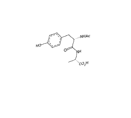 CC(=O)N[C@@H](Cc1ccc(O)cc1)C(=O)N[C@@H](C)C(=O)O